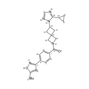 CC(C)(C)c1nc(-c2ccc(C(=O)N3CC4(CC(n5ncnc5C5CC5)C4)C3)cc2)no1